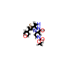 CC(C)(C)OC(=O)N1CCc2nc(C3(c4cc(C5=CCOCC5)cs4)CC3)[nH]c(=O)c2C1